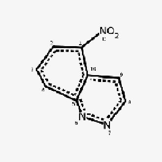 O=[N+]([O-])c1cccc2nnccc12